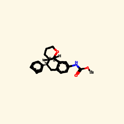 CC(C)(C)OC(=O)Nc1ccc2c(c1)[C@H]1OCCC[C@H]1[C@@H](c1ccccc1)C2